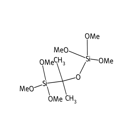 CO[Si](OC)(OC)OC(C)(C)[Si](OC)(OC)OC